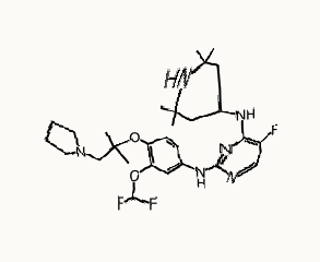 CC1(C)CC(Nc2nc(Nc3ccc(OC(C)(C)CN4CCCC4)c(OC(F)F)c3)ncc2F)CC(C)(C)N1